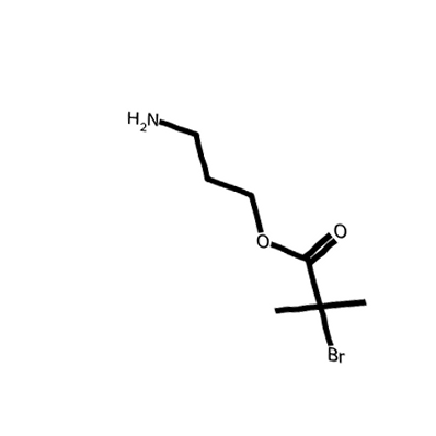 CC(C)(Br)C(=O)OCCCN